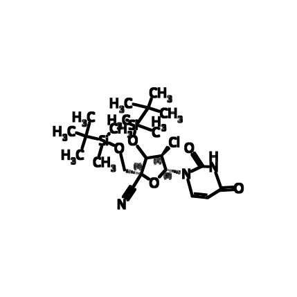 CC(C)(C)[Si](C)(C)OC[C@@]1(C#N)O[C@@H](n2ccc(=O)[nH]c2=O)[C@H](Cl)C1O[Si](C)(C)C(C)(C)C